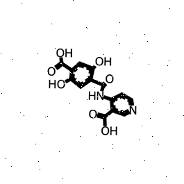 O=C(O)c1cc(O)c(C(=O)Nc2ccncc2C(=O)O)cc1O